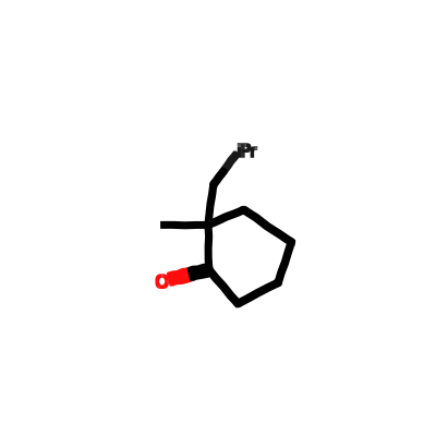 CC(C)CC1(C)CCCCC1=O